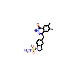 Cc1cc2c(Cc3ccc4c(c3)CCN4S(N)(=O)=O)n[nH]c(=O)c2cc1C